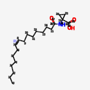 CCCCCCC/C=C\CCCCCCCC(=O)NC1(C(=O)O)CC1